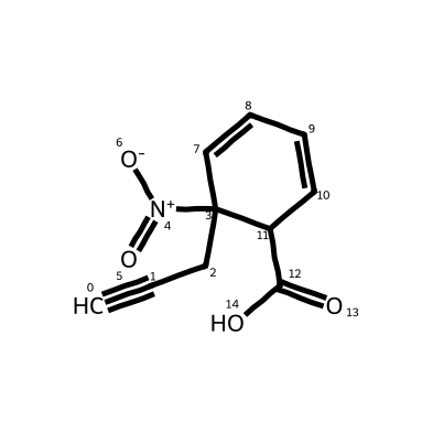 C#CCC1([N+](=O)[O-])C=CC=CC1C(=O)O